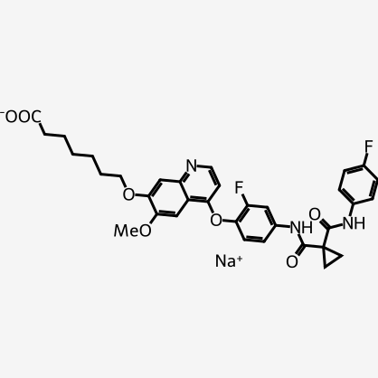 COc1cc2c(Oc3ccc(NC(=O)C4(C(=O)Nc5ccc(F)cc5)CC4)cc3F)ccnc2cc1OCCCCCCC(=O)[O-].[Na+]